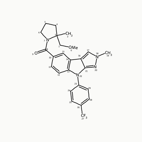 COCC1(C)CCCN1C(=O)c1ccc2c(c1)c1cn(C)nc1n2-c1ccc(C(F)(F)F)cc1